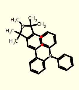 CN1C(C)(C)c2ccc(-c3ccccc3N(c3ccccc3)c3ccccc3)cc2C1(C)C